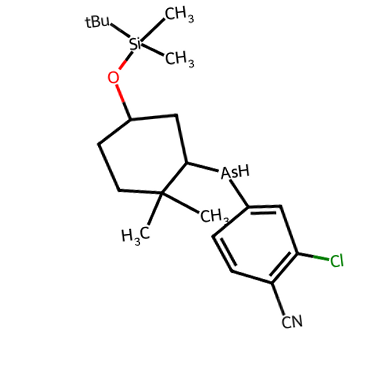 CC1(C)CCC(O[Si](C)(C)C(C)(C)C)CC1[AsH]c1ccc(C#N)c(Cl)c1